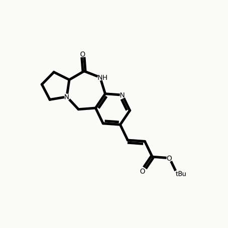 CC(C)(C)OC(=O)/C=C/c1cnc2c(c1)CN1CCCC1C(=O)N2